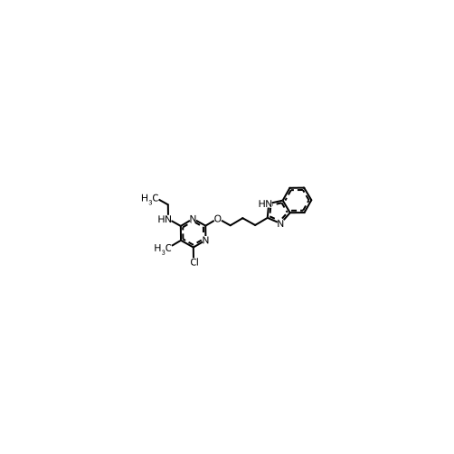 CCNc1nc(OCCCc2nc3ccccc3[nH]2)nc(Cl)c1C